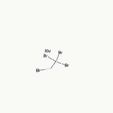 BrCC(Br)(Br)Br.[KH]